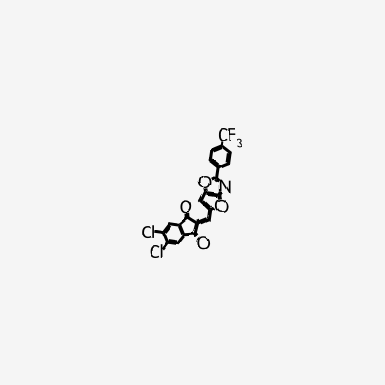 O=C1C(=Cc2cc3oc(-c4ccc(C(F)(F)F)cc4)nc3o2)C(=O)c2cc(Cl)c(Cl)cc21